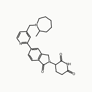 CC1CCCCCN1Cc1ccnc(-c2ccc3c(c2)CN(C2CCC(=O)NC2=O)C3=O)c1